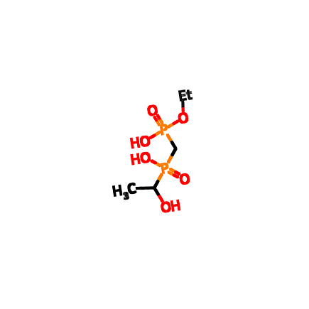 CCOP(=O)(O)CP(=O)(O)C(C)O